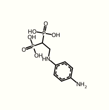 Nc1ccc(NCC(P(=O)(O)O)P(=O)(O)O)cc1